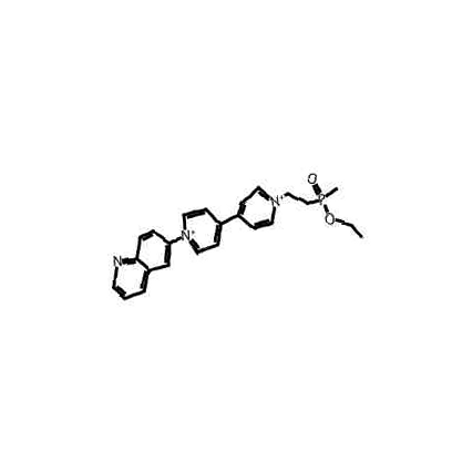 CCOP(C)(=O)CC[n+]1ccc(-c2cc[n+](-c3ccc4ncccc4c3)cc2)cc1